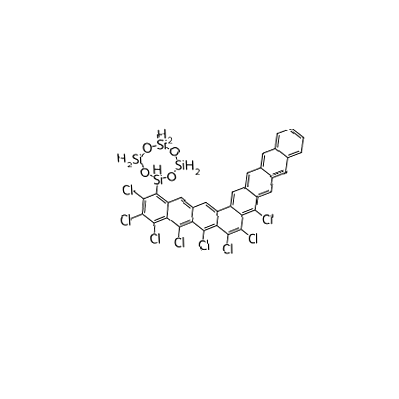 Clc1c(Cl)c(Cl)c2c(Cl)c3c(Cl)c4c(Cl)c(Cl)c5c(Cl)c6cc7cc8ccccc8cc7cc6cc5c4cc3cc2c1[SiH]1O[SiH2]O[SiH2]O[SiH2]O1